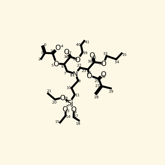 C=C(C)C(=O)OC(CN(CCC[Si](OCC)(OCC)OCC)CC(OC(=O)C(=C)C)C(=O)OCCC)C(=O)OCCC